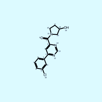 O=C(c1cc(-c2cccc(Cl)c2)ncn1)N1CCC(O)C1